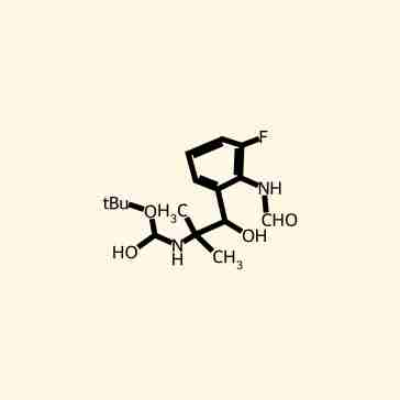 CC(C)(C)OC(O)NC(C)(C)C(O)c1cccc(F)c1NC=O